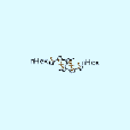 CCCCCCc1ccc(-c2ccc(-c3cc(C)sc3-c3sc(C)cc3-c3ccc(-c4ccc(CCCCCC)s4)s3)s2)s1